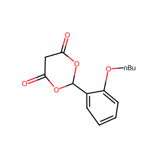 CCCCOc1ccccc1C1OC(=O)CC(=O)O1